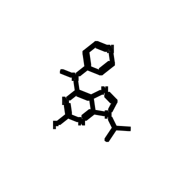 CC(C)n1cnc2c(N(C)c3ccncc3)nc(F)nc21